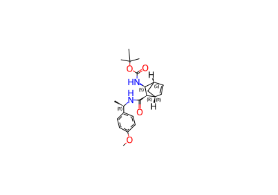 COc1ccc([C@@H](C)NC(=O)[C@H]2[C@@H](NC(=O)OC(C)(C)C)[C@@H]3C=C[C@H]2C3)cc1